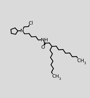 CCCCCCCCC(CCCCCCCC)CC(=O)NCCCCCN(CCCl)C1CCCC1